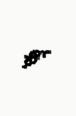 COc1ccc2c(c1)CC[C@H]1[C@@H]3C[C@@H](CC(=O)O)C[C@@]3(C)CC[C@]21C#N